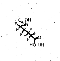 O=C(O)C(F)(F)C(F)(F)C(F)(F)C(F)(F)S(=O)(=O)O.[LiH]